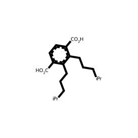 CC(C)CCCc1c(C(=O)O)ccc(C(=O)O)c1CCCC(C)C